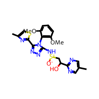 COc1cccc(OC)c1-n1c(N[S+]([O-])CC(O)c2ncc(C)cn2)nnc1-c1nc(C)cs1